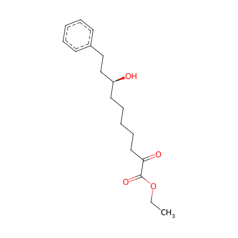 CCOC(=O)C(=O)CCCCC[C@H](O)CCc1ccccc1